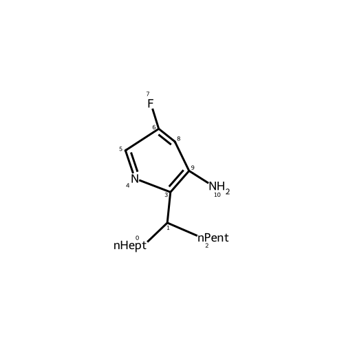 CCCCCCCC(CCCCC)c1ncc(F)cc1N